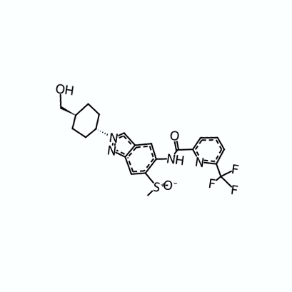 C[S+]([O-])c1cc2nn([C@H]3CC[C@H](CO)CC3)cc2cc1NC(=O)c1cccc(C(F)(F)F)n1